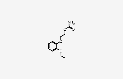 CCOc1ccccc1OCCOC(N)=O